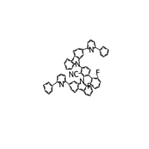 N#Cc1c(-n2c3ccccc3c3ccc(-c4cccc(-c5ccccc5)n4)cc32)ccc(-c2c(F)cccc2F)c1-n1c2ccccc2c2ccc(-c3cccc(-c4ccccc4)n3)cc21